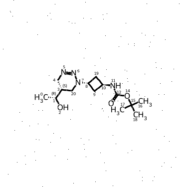 C[C@@H](O)[C@@H]1CN=NN([C@H]2C[C@H](NC(=O)OC(C)(C)C)C2)C1